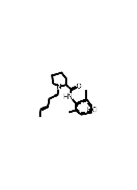 C/C=C/CCN1CCCCC1C(=O)Nc1c(C)cccc1C.Cl